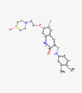 COc1cc(NCc2cc3cc(Cl)c(OCCN4CC[S+]([O-])CC4)cc3[nH]c2=O)ccc1C#N